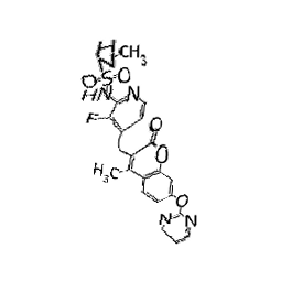 CNS(=O)(=O)Nc1nccc(Cc2c(C)c3ccc(OC4=NCCC=N4)cc3oc2=O)c1F